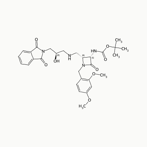 COc1ccc(CN2C(=O)[C@@H](NC(=O)OC(C)(C)C)[C@H]2CNC[C@@H](O)CN2C(=O)c3ccccc3C2=O)c(OC)c1